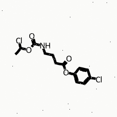 CC(Cl)OC(=O)NCCCC(=O)Oc1ccc(Cl)cc1